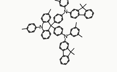 Cc1ccc(N2c3ccccc3C(c3ccc(N(c4cc(C)cc(C)c4)c4ccc5c(c4)C(C)(C)c4ccccc4-5)cc3)(c3ccc(N(c4cc(C)cc(C)c4)c4ccc5c(c4)C(C)(C)c4ccccc4-5)cc3)c3cc(C)ccc32)cc1